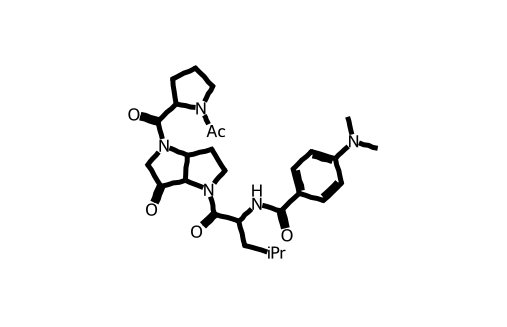 CC(=O)N1CCCC1C(=O)N1CC(=O)C2C1CCN2C(=O)C(CC(C)C)NC(=O)c1ccc(N(C)C)cc1